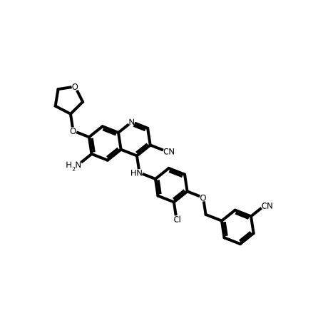 N#Cc1cccc(COc2ccc(Nc3c(C#N)cnc4cc(OC5CCOC5)c(N)cc34)cc2Cl)c1